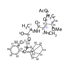 C=N/C(C(=O)N[C@@H](C)C(=O)O[C@@H](C)[C@H](Oc1ccccc1)C12CC3CC(CC(C3)C1)C2)=C(OCOC(C)=O)\C(=C/C)OC